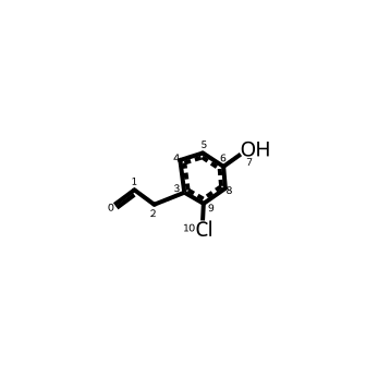 C=CCc1ccc(O)cc1Cl